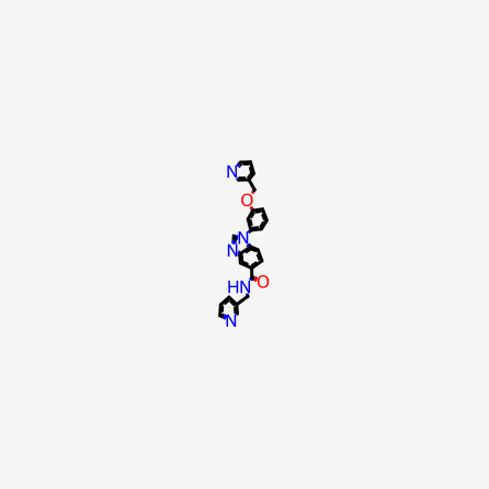 O=C(NCc1cccnc1)c1ccc2c(c1)ncn2-c1cccc(OCc2cccnc2)c1